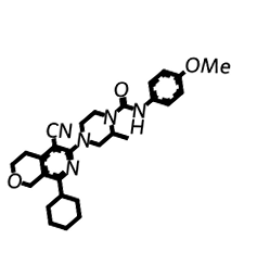 COc1ccc(NC(=O)N2CCN(c3nc(C4CCCCC4)c4c(c3C#N)CCOC4)CC2C)cc1